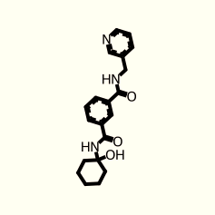 O=C(NCc1cccnc1)c1cccc(C(=O)NC2(O)CCCCC2)c1